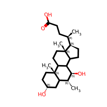 C[C@H](CCC(=O)O)[C@H]1CCC2C3C(CC[C@@]21C)[C@@]1(C)CC[C@@H](O)CC1[C@@H](C)[C@@H]3O